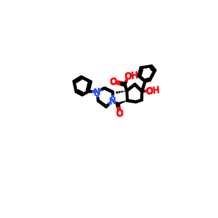 C[C@]1(C(=O)O)CC(O)(c2ccccc2)CC[C@@H]1C(=O)N1CCN(c2ccccc2)CC1